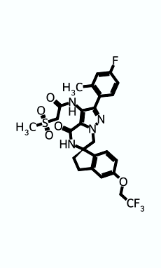 Cc1cc(F)ccc1-c1nn2c(c1NC(=O)CS(C)(=O)=O)C(=O)N[C@]1(CCc3cc(OCC(F)(F)F)ccc31)C2